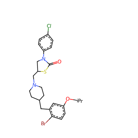 CC(C)Oc1ccc(Br)c(CC2CCN(CC3CN(c4ccc(Cl)cc4)C(=O)S3)CC2)c1